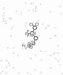 NS(=O)(=O)c1ccc(-c2cccc(-c3nc(-c4ccc(Cl)c(Cl)c4)cc(C(F)(F)F)n3)c2)s1